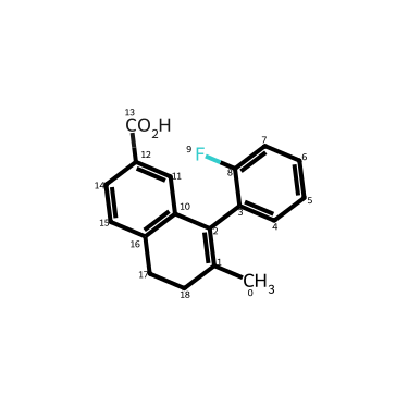 CC1=C(c2ccccc2F)c2cc(C(=O)O)ccc2CC1